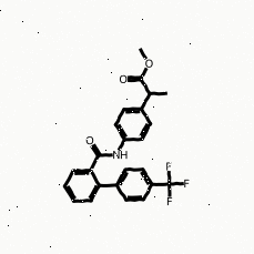 COC(=O)C(C)c1ccc(NC(=O)c2ccccc2-c2ccc(C(F)(F)F)cc2)cc1